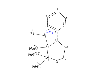 CCC(N)C1(OC)C(c2ccccc2)CCC[Si]1(OC)OC